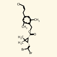 Cc1cc(C/C=C\Cl)cc(C)c1COC(=O)[C@@H]1[C@H](C=C(Br)Br)C1(C)C